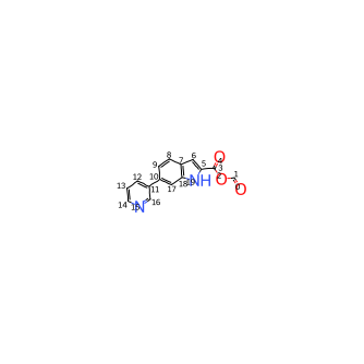 O=COC(=O)c1cc2ccc(-c3cccnc3)cc2[nH]1